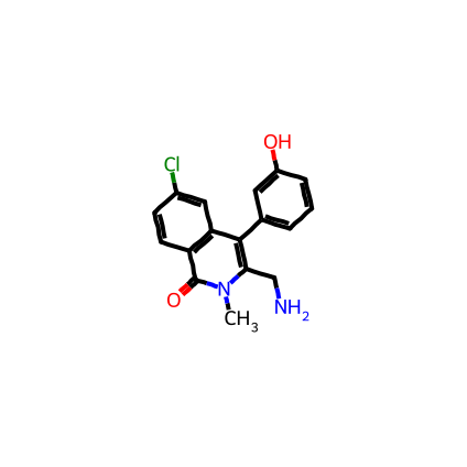 Cn1c(CN)c(-c2cccc(O)c2)c2cc(Cl)ccc2c1=O